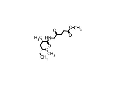 CC[C@H](C[C@H](C)C(=O)NCC(=O)CCC(=O)OC)OC